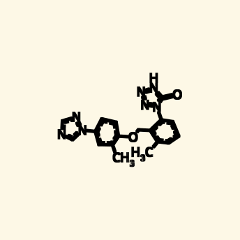 Cc1cc(-n2cncn2)ccc1OCc1c(C)cccc1-n1nn[nH]c1=O